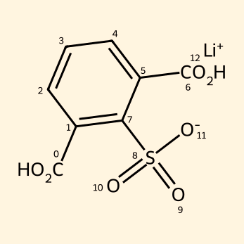 O=C(O)c1cccc(C(=O)O)c1S(=O)(=O)[O-].[Li+]